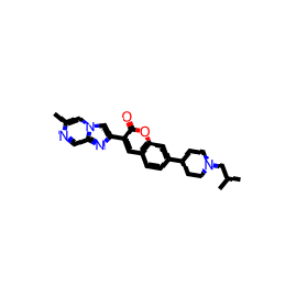 Cc1cn2cc(-c3cc4ccc(C5CCN(CC(C)C)CC5)cc4oc3=O)nc2cn1